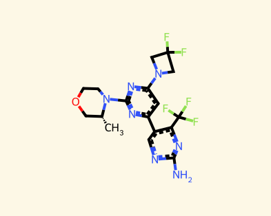 C[C@@H]1COCCN1c1nc(-c2cnc(N)nc2C(F)(F)F)cc(N2CC(F)(F)C2)n1